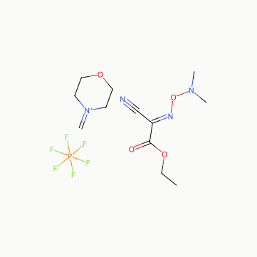 C=[N+]1CCOCC1.CCOC(=O)C(C#N)=NON(C)C.F[P-](F)(F)(F)(F)F